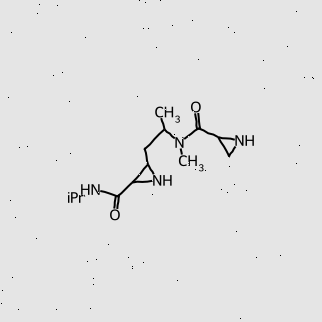 CC(C)NC(=O)C1NC1CC(C)N(C)C(=O)C1CN1